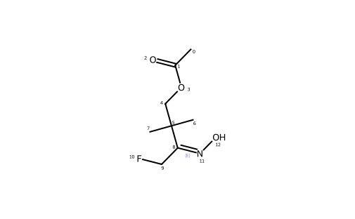 CC(=O)OCC(C)(C)/C(CF)=N\O